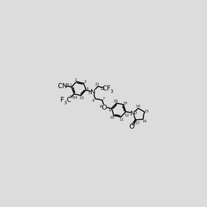 [C-]#[N+]c1ccc(N(CCOc2ccc(N3CCCC3=O)cc2)CC(F)(F)F)cc1C(F)(F)F